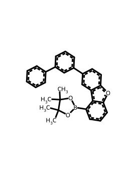 CC1(C)OB(c2cccc3oc4ccc(-c5cccc(-c6ccccc6)c5)cc4c23)OC1(C)C